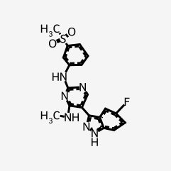 CNc1nc(Nc2cccc(S(C)(=O)=O)c2)ncc1-c1n[nH]c2ccc(F)cc12